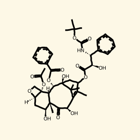 CC(=O)O[C@@]12CO[C@@H]1C[C@H](O)[C@@]1(C)C(=O)[C@H](O)C3=C(C)C(OC(=O)[C@H](O)[C@H](NC(=O)OC(C)(C)C)c4ccccc4)C[C@@](O)([C@@H](OC(=O)c4ccccc4)[C@H]21)C3(C)C